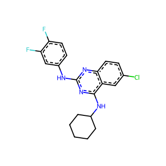 Fc1ccc(Nc2nc(NC3CCCCC3)c3cc(Cl)ccc3n2)cc1F